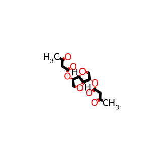 CC(=O)CC(=O)O[C@H]1CO[C@H]2[C@@H]1OC[C@H]2OC(=O)CC(C)=O